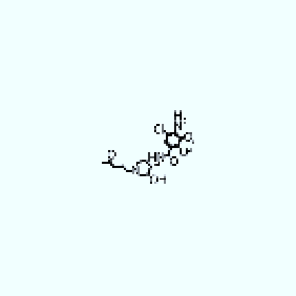 COc1c(C(=O)NC[C@@H]2CCN(CCCC(C)=O)C[C@H]2O)cc(Cl)c(N)c1OC